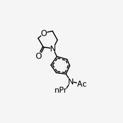 CCCN(C(C)=O)c1ccc(N2CCOCC2=O)cc1